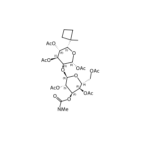 CNC(=O)O[C@H]1[C@H](OC(C)=O)[C@@H](O[C@@H]2[C@@H](OC(C)=O)O[C@@H](C3(C)CCC3)[C@@H](OC(C)=O)[C@@H]2OC(C)=O)O[C@H](COC(C)=O)[C@H]1OC(C)=O